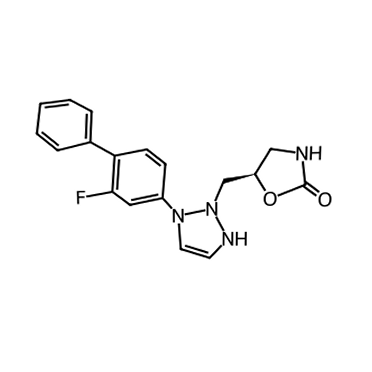 O=C1NC[C@H](CN2NC=CN2c2ccc(-c3ccccc3)c(F)c2)O1